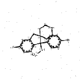 O=C(O)NC1(c2ccc(Br)nc2)c2ccc(F)cc2CC12CCNCC2